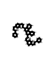 c1ccc(-c2ccc3ccc4ccc(-c5cc6cc(-c7ccc8ccc9ccc(-c%10ccccc%10)nc9c8n7)c7ccccc7c6c6ccccc56)nc4c3n2)cc1